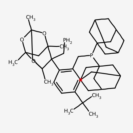 CC12CC3(C)OC(C)(CC(C)(O1)C3(CP)c1ccc(C(C)(C)C)cc1CP(C13CC4CC(CC(C4)C1)C3)C13CC4CC(CC(C4)C1)C3)O2